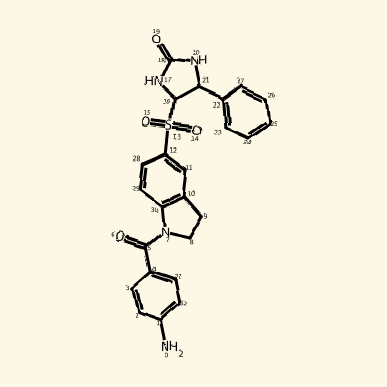 Nc1ccc(C(=O)N2CCc3cc(S(=O)(=O)C4NC(=O)NC4c4ccccc4)ccc32)cc1